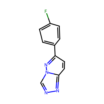 Fc1ccc(-c2ccc3nncn3n2)cc1